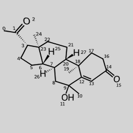 CC(=O)[C@H]1CC[C@H]2[C@@H]3CC(C)(O)C4=CC(=O)CC[C@]4(C)[C@H]3CC[C@]12C